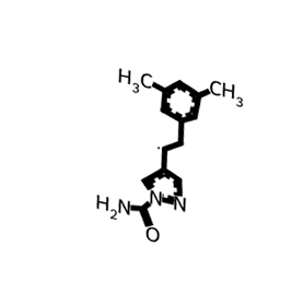 Cc1cc(C)cc(C[CH]c2cnn(C(N)=O)c2)c1